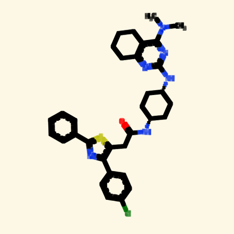 CN(C)c1nc(N[C@H]2CC[C@@H](NC(=O)Cc3sc(-c4ccccc4)nc3-c3ccc(Cl)cc3)CC2)nc2c1CCCC2